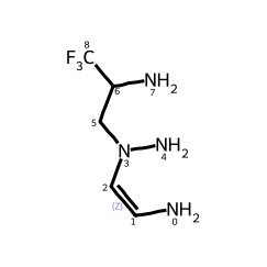 N/C=C\N(N)CC(N)C(F)(F)F